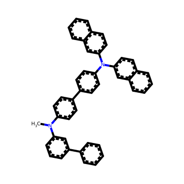 CN(c1ccc(-c2ccc(N(c3ccc4ccccc4c3)c3ccc4ccccc4c3)cc2)cc1)c1cccc(-c2ccccc2)c1